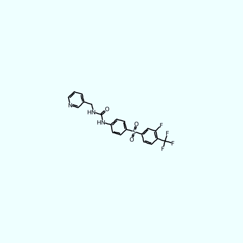 O=C(NCc1cccnc1)Nc1ccc(S(=O)(=O)c2ccc(C(F)(F)F)c(F)c2)cc1